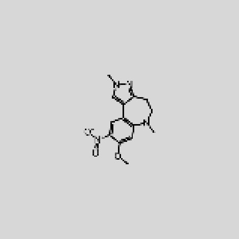 COc1cc2c(cc1[N+](=O)[O-])-c1cn(C)nc1CCN2C